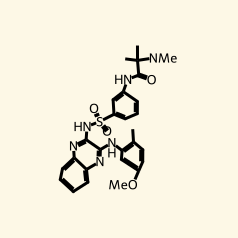 CNC(C)(C)C(=O)Nc1cccc(S(=O)(=O)Nc2nc3ccccc3nc2Nc2cc(OC)ccc2C)c1